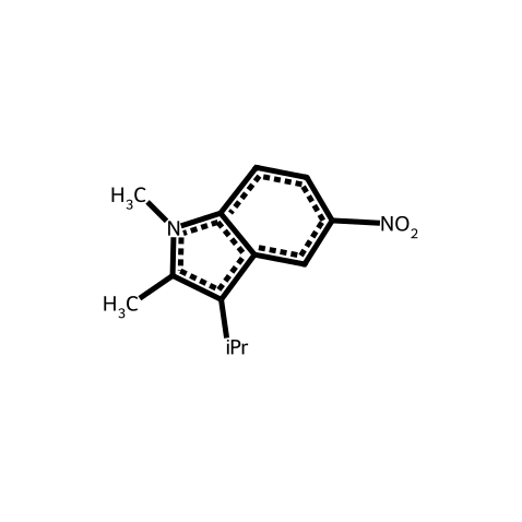 Cc1c(C(C)C)c2cc([N+](=O)[O-])ccc2n1C